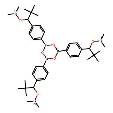 C[SiH](C)OC(c1ccc(B2OB(c3ccc(C(O[SiH](C)C)C(C)(C)C)cc3)OB(c3ccc(C(O[SiH](C)C)C(C)(C)C)cc3)O2)cc1)C(C)(C)C